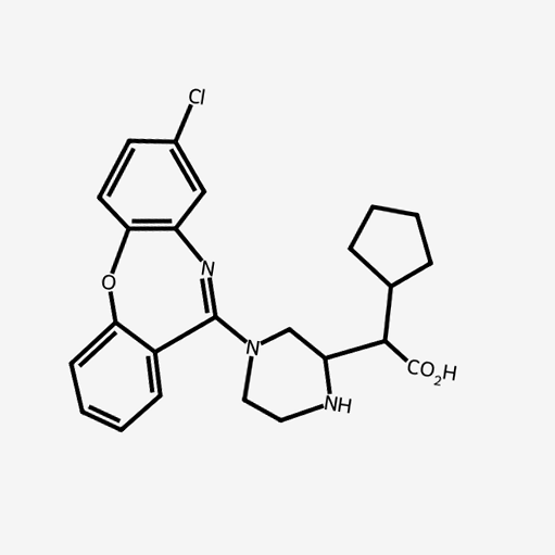 O=C(O)C(C1CCCC1)C1CN(C2=Nc3cc(Cl)ccc3Oc3ccccc32)CCN1